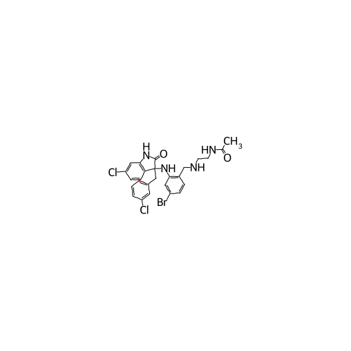 CC(=O)NCCNCc1ccc(Br)cc1NC1(Cc2cccc(Cl)c2)C(=O)Nc2cc(Cl)ccc21